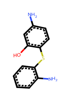 Nc1ccc(Sc2ccccc2N)c(O)c1